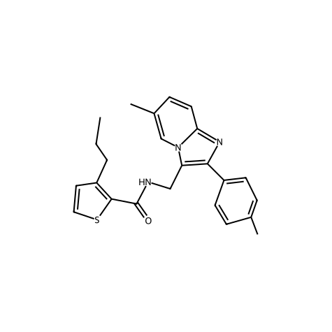 CCCc1ccsc1C(=O)NCc1c(-c2ccc(C)cc2)nc2ccc(C)cn12